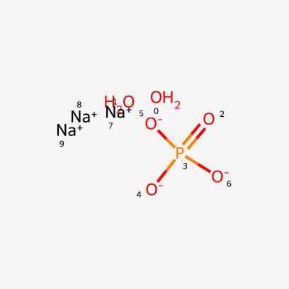 O.O.O=P([O-])([O-])[O-].[Na+].[Na+].[Na+]